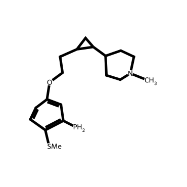 CSc1ccc(OCCC2CC2C2CCN(C)CC2)cc1P